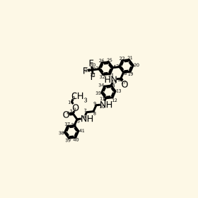 CCOC(=O)C(NCCCNc1ccc(NC(=O)c2ccccc2-c2ccc(C(F)(F)F)cc2)cc1)c1ccccc1